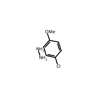 COc1ccc(Cl)cc1.NN